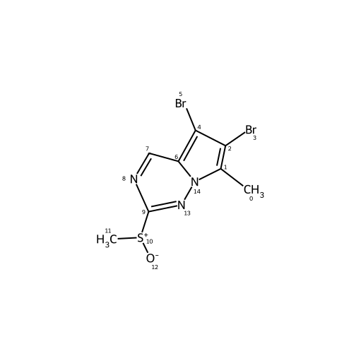 Cc1c(Br)c(Br)c2cnc([S+](C)[O-])nn12